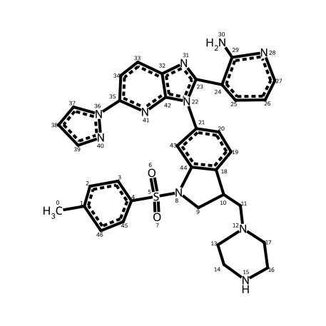 Cc1ccc(S(=O)(=O)N2CC(CN3CCNCC3)c3ccc(-n4c(-c5cccnc5N)nc5ccc(-n6cccn6)nc54)cc32)cc1